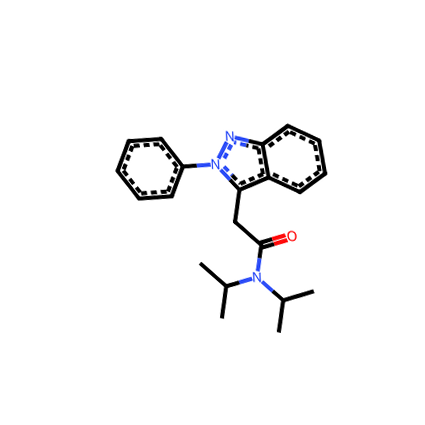 CC(C)N(C(=O)Cc1c2ccccc2nn1-c1ccccc1)C(C)C